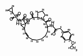 COc1ccc(CC(=O)NC2CCCCC/C=C\C3CC3(C(=O)NS(=O)(=O)C3CC3)NC(=O)C3CCCN3C2=O)cc1